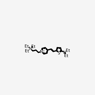 CCN(CC)c1ccc(/C=C/c2cc[n+](CCC[N+](CC)(CC)CC)cc2)s1